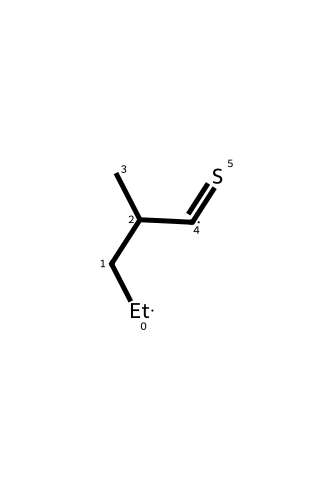 C[CH]CC(C)[C]=S